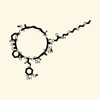 CCOCCOCCOCCNC(=O)CO/N=C1\[C@H](C)C[C@H](C)/C=C/C=C/C=C(\C)[C@@H](OC)C[C@@H]2CC[C@@H](C)[C@@](O)(O2)C(=O)C(=O)N2CCCC[C@H]2C(=O)O[C@H]([C@H](C)C[C@@H]2CC[C@@H](O)[C@H](OC)C2)C[C@@H](O)[C@H](C)/C=C(\C)[C@@H](O)[C@H]1OC